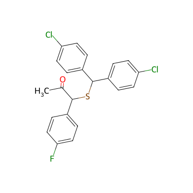 CC(=O)C(SC(c1ccc(Cl)cc1)c1ccc(Cl)cc1)c1ccc(F)cc1